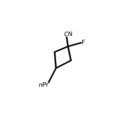 CCCC1CC(F)(C#N)C1